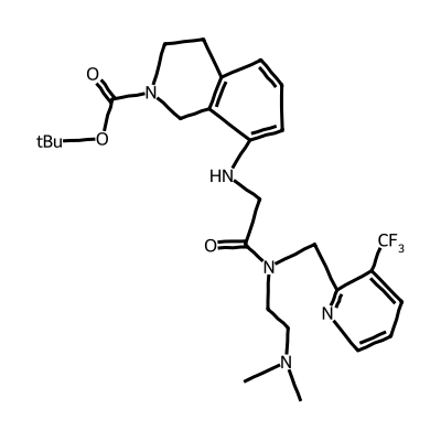 CN(C)CCN(Cc1ncccc1C(F)(F)F)C(=O)CNc1cccc2c1CN(C(=O)OC(C)(C)C)CC2